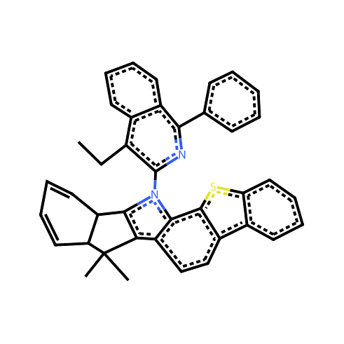 CCc1c(-n2c3c(c4ccc5c6ccccc6sc5c42)C(C)(C)C2C=CC=CC32)nc(-c2ccccc2)c2ccccc12